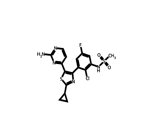 CS(=O)(=O)Nc1cc(F)cc(-c2nc(C3CC3)sc2-c2ccnc(N)n2)c1Cl